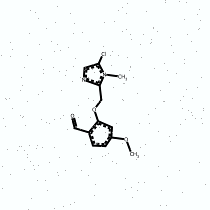 COc1ccc(C=O)c(OCc2ncc(Cl)n2C)c1